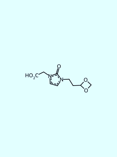 O=C(O)Cn1ccn(CCC2OCO2)c1=O